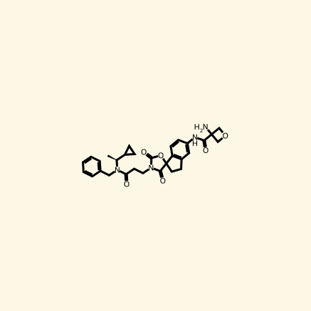 C[C@@H](C1CC1)N(Cc1ccccc1)C(=O)CCN1C(=O)OC2(CCc3cc(NC(=O)C4(N)COC4)ccc32)C1=O